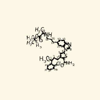 CC(CCc1cc(-n2cnc3ccc(CCCN[C@@H](C)C(=O)OC(C)(C)C)cc32)sc1C(N)=O)c1ccccc1Cl